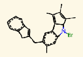 CC1=C(C)C2C(=C1C)c1cc(CC3=Cc4ccccc4C3)c(C)cc1N2Br